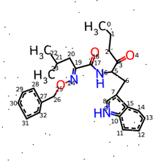 CCCC(=O)C(Cc1c[nH]c2ccccc12)NC(=O)C(CC(C)C)=NOCc1ccccc1